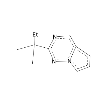 CCC(C)(C)c1ncc2cccn2n1